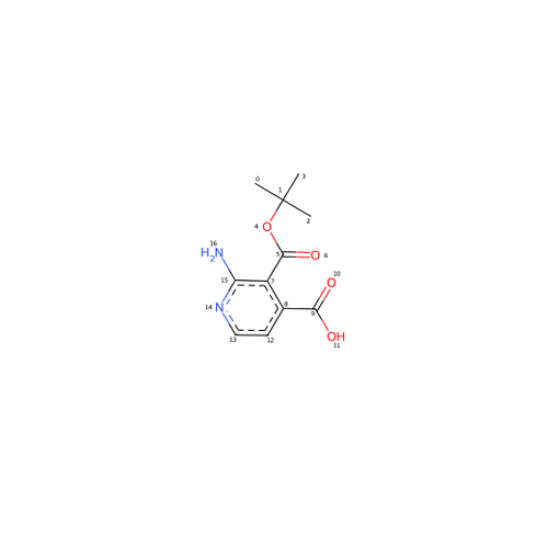 CC(C)(C)OC(=O)c1c(C(=O)O)ccnc1N